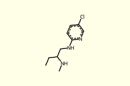 CCC(CNc1ccc(Cl)cn1)NC